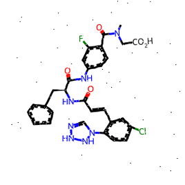 CN(CC(=O)O)C(=O)c1ccc(NC(=O)[C@H](Cc2ccccc2)NC(=O)/C=C/c2cc(Cl)ccc2N2C=NNN2)cc1F